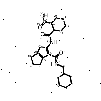 O=C(NCC1CCCCC1)C1=C(NC(=O)C2CCCCC2C(=O)O)CC2=C1CCC2